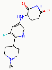 CC(C)N1CCC(c2ncc(NC3CCC(=O)NC3=O)cc2F)CC1